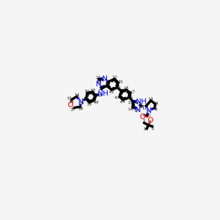 CC(C)(C)OC(=O)N1CCC[C@H]1c1ncc(-c2ccc(-c3ccc4ncnc(Nc5ccc(N6CCOCC6)cc5)c4c3)cc2)[nH]1